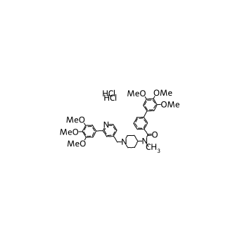 COc1cc(-c2cccc(C(=O)N(C)C3CCN(Cc4ccnc(-c5cc(OC)c(OC)c(OC)c5)c4)CC3)c2)cc(OC)c1OC.Cl.Cl